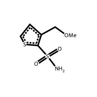 COCc1ccsc1S(N)(=O)=O